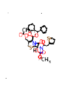 COC(=O)O[C@]1(NC(=O)Cc2cccs2)C(=O)N2C(C(=O)OC(c3ccccc3)c3ccccc3)=C(COC(C)=O)CS[C@@H]21